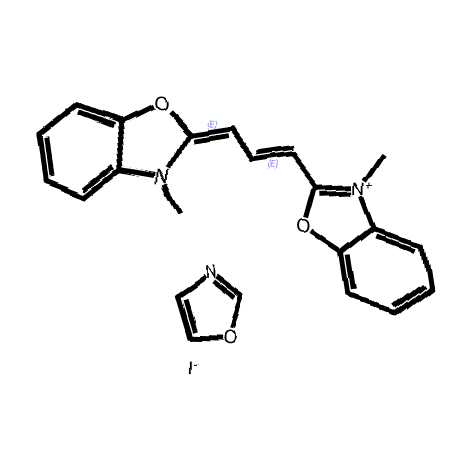 CN1/C(=C\C=C\c2oc3ccccc3[n+]2C)Oc2ccccc21.[I-].c1cocn1